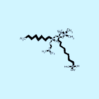 CCCCCCCC[Si](C)(OC[SiH](C)C)O[Si](C)(CCCCCCCC[Si](O)(O)O)O[Si](C)(C)C